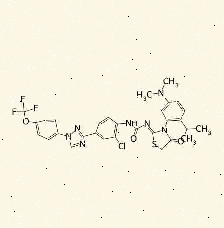 CC(C)c1ccc(N(C)C)cc1N1C(=O)CSC1=NC(=O)Nc1ccc(-c2ncn(-c3ccc(OC(F)(F)F)cc3)n2)cc1Cl